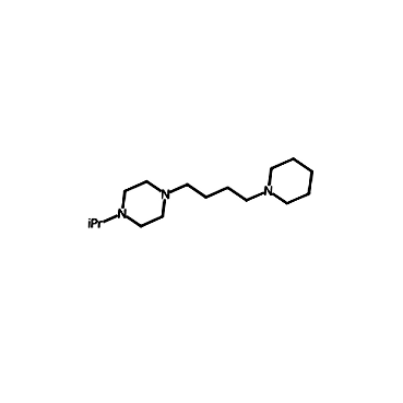 CC(C)N1CCN(CCCCN2CCCCC2)CC1